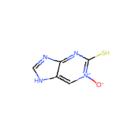 [O-][n+]1cc2[nH]cnc2nc1S